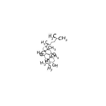 CC(C)CCC[C@@H](C)[C@H]1CC[C@@]2(C)C3=C(C(=O)C[C@]12C)[C@@]1(C)CCC(O)C(C)(C)[C@@H]1CC3=O